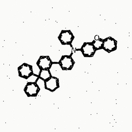 C1=CC2=C(CC1)C(c1ccccc1)(c1ccccc1)c1cccc(-c3cccc(N(c4ccccc4)c4ccc5c(c4)oc4ccccc45)c3)c12